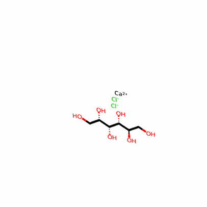 OC[C@@H](O)[C@@H](O)[C@H](O)[C@@H](O)CO.[Ca+2].[Cl-].[Cl-]